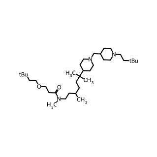 CC(CCN(C)C(=O)CCOCCC(C)(C)C)CCC(C)(C)C1CCN(CC2CCN(CCC(C)(C)C)CC2)CC1